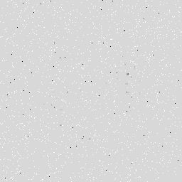 CC(C)C[N+](CCCCCCCCCCCC[N+](CC(C)C)(CC(C)C)CC(C)C)(CC(C)C)CC(C)C